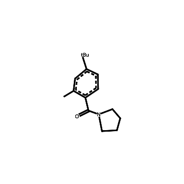 Cc1cc(C(C)(C)C)ccc1C(=O)N1CCCC1